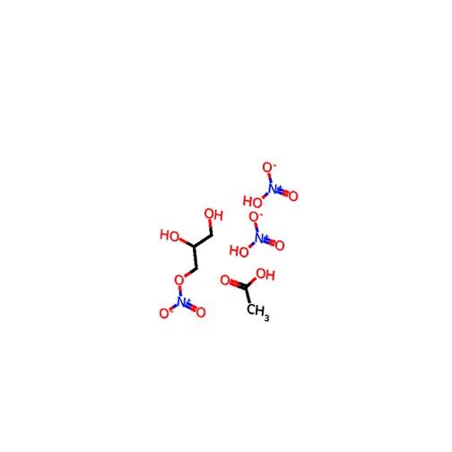 CC(=O)O.O=[N+]([O-])O.O=[N+]([O-])O.O=[N+]([O-])OCC(O)CO